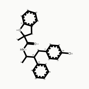 CC(NC(=O)C1(C)Cc2ccccc2O1)C(Cc1ccc(Cl)cc1)c1ccccc1